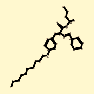 CCCCCCCCCCOc1ccc(C=C(N=Cc2ccccc2)C(=O)OC(C)CCC)cc1